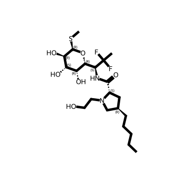 CCCCC[C@@H]1C[C@@H](C(=O)N[C@@H]([C@H]2O[C@H](SC)[C@H](O)[C@@H](O)[C@H]2O)C(C)(F)F)N(CCO)C1